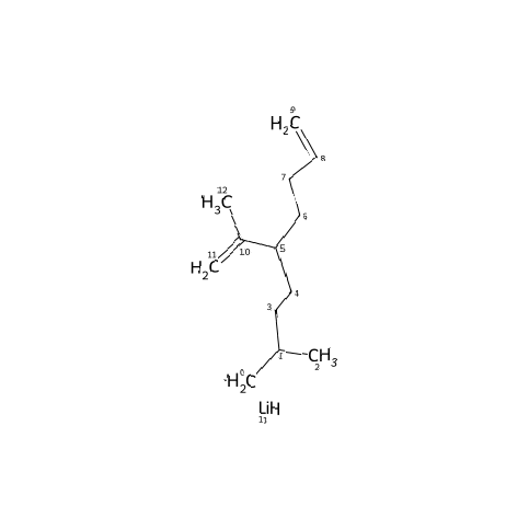 [CH2]C(C)CCC(CCC=C)C(=C)C.[LiH]